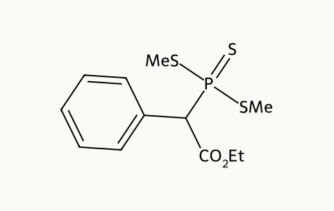 CCOC(=O)C(c1ccccc1)P(=S)(SC)SC